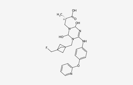 C[C@@H](CN1C(O)N=C(Nc2ccc(Oc3ccccn3)cc2)N(CC23CC(CF)(C2)C3)C1O)C(=O)O